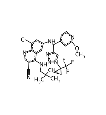 COc1cc(C(Nc2cc(Cl)c3ncc(C#N)c(NCC(C)(C)C)c3c2)c2cn(C3(C(F)(F)F)CC3)nn2)ccn1